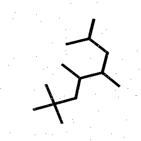 C[C](CC(C)C)C(C)CC(C)(C)C